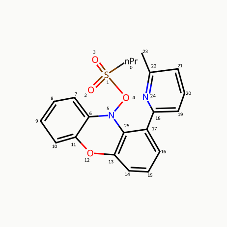 CCCS(=O)(=O)ON1c2ccccc2Oc2cccc(-c3cccc(C)n3)c21